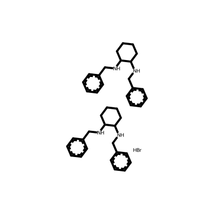 Br.c1ccc(CNC2CCCCC2NCc2ccccc2)cc1.c1ccc(CNC2CCCCC2NCc2ccccc2)cc1